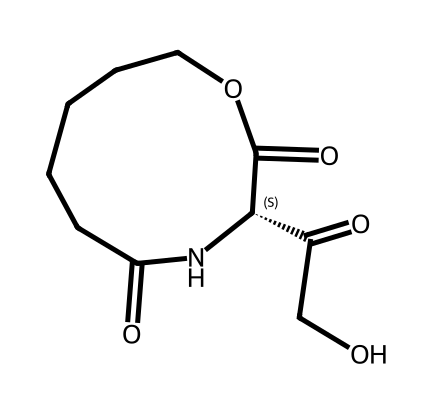 O=C1CCCCCOC(=O)[C@H](C(=O)CO)N1